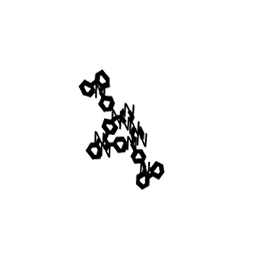 c1ccc2nc(-c3ccc(N(c4ccc(-n5c6ccccc6c6ccccc65)cc4)c4cnccn4)cc3)c(-c3ccc(N(c4ccc(-n5c6ccccc6c6ccccc65)cc4)c4cnccn4)cc3)nc2c1